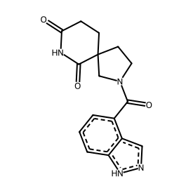 O=C1CCC2(CCN(C(=O)c3cccc4[nH]ncc34)C2)C(=O)N1